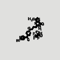 CCn1cc(C(=O)C2CCN(C(=O)CCCc3nc4c(C)csc4c(=O)[nH]3)CC2)cn1.O=C(O)C(F)(F)F